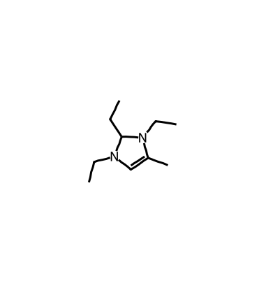 CCC1N(CC)C=C(C)N1CC